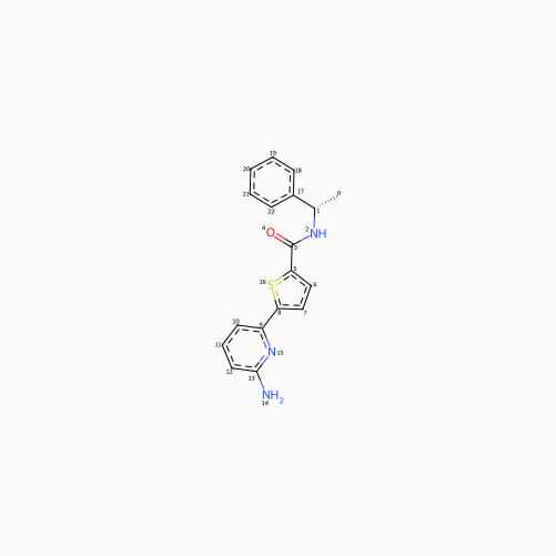 C[C@H](NC(=O)c1ccc(-c2cccc(N)n2)s1)c1ccccc1